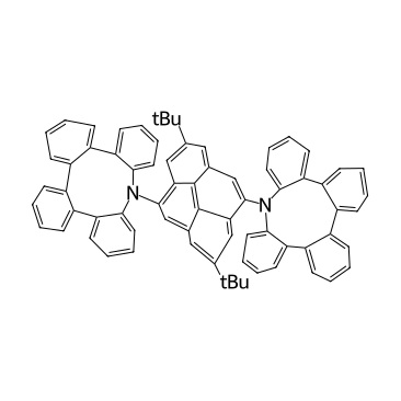 CC(C)(C)c1cc2cc(-n3c4ccccc4c4ccccc4c4ccccc4c4ccccc43)c3cc(C(C)(C)C)cc4cc(-n5c6ccccc6c6ccccc6c6ccccc6c6ccccc65)c(c1)c2c43